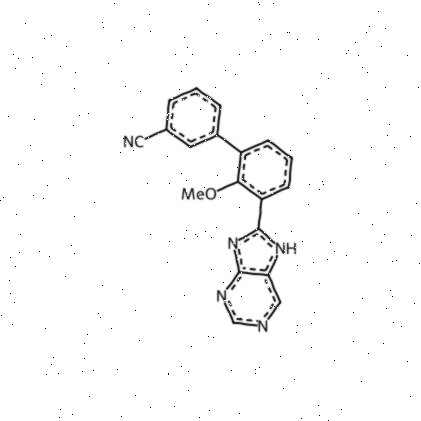 COc1c(-c2cccc(C#N)c2)cccc1-c1nc2ncncc2[nH]1